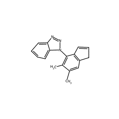 Cc1cc2c(c(-n3nnc4ccccc43)c1C)C=CC2